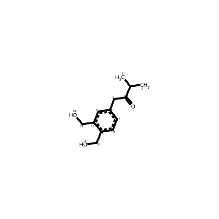 CC(C)C(=O)Cc1ccc(CO)c(CO)c1